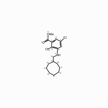 COC(=O)c1nc(Cl)cc(NCC2CCCCCCC2)c1Cl